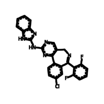 Fc1cccc(F)c1C1=NCc2cnc(Nc3nc4ccccc4[nH]3)nc2-c2ccc(Cl)cc21